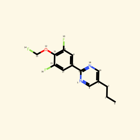 CCCc1cnc(-c2cc(F)c(OCF)c(F)c2)nc1